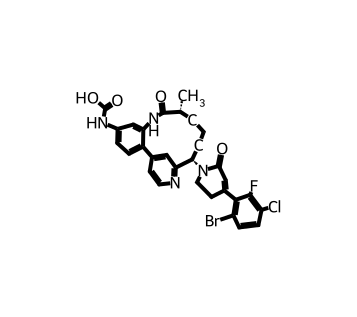 C[C@@H]1CCC[C@H](N2CCC(c3c(Br)ccc(Cl)c3F)=CC2=O)c2cc(ccn2)-c2ccc(NC(=O)O)cc2NC1=O